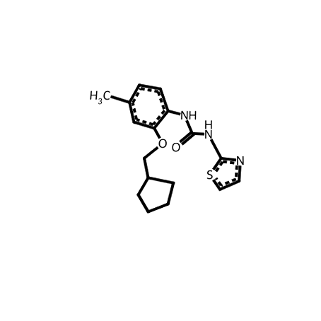 Cc1ccc(NC(=O)Nc2nccs2)c(OCC2CCCC2)c1